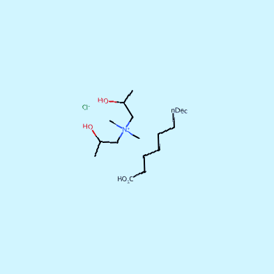 CC(O)C[N+](C)(C)CC(C)O.CCCCCCCCCCCCCCCC(=O)O.[Cl-]